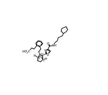 O=C(O)CCc1ccccc1CC[C@H]1[C@@H](c2nc(C(=O)NCCCCC3CCCCC3)co2)[C@@H]2CC[C@H]1O2